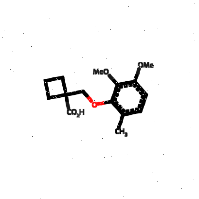 COc1ccc(C)c(OCC2(C(=O)O)CCC2)c1OC